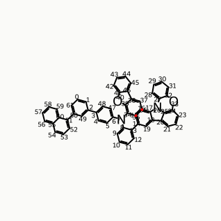 c1cc(-c2ccc(N(c3ccccc3-c3ccc4c(c3)c3cccc5c3n4-c3ccccc3O5)c3cccc4c3oc3ccccc34)cc2)cc(-c2cccc3ccccc23)c1